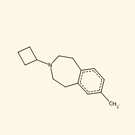 [CH2]c1ccc2c(c1)CCN(C1CCC1)CC2